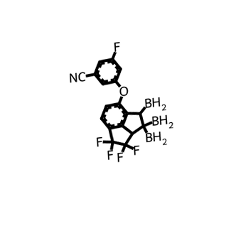 BC1c2c(Oc3cc(F)cc(C#N)c3)ccc3c2C(C1(B)B)C(F)(F)C3(F)F